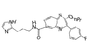 CCCOc1nc2ccc(C(=O)NCCCc3ncc[nH]3)cc2nc1-c1ccc(F)cc1